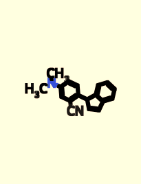 CN(C)c1ccc(C2C=Cc3ccccc32)c(C#N)c1